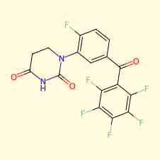 O=C1CCN(c2cc(C(=O)c3c(F)c(F)c(F)c(F)c3F)ccc2F)C(=O)N1